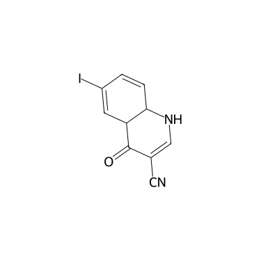 N#CC1=CNC2C=CC(I)=CC2C1=O